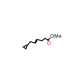 COC(=O)CCC=CCC1[CH]C1